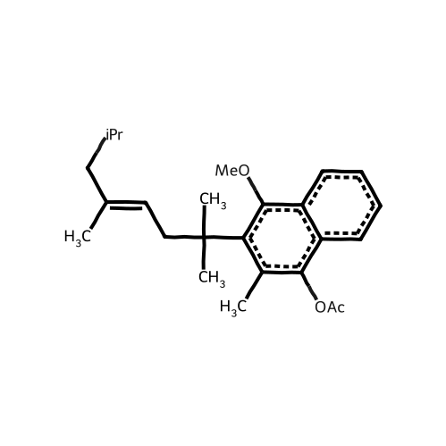 COc1c(C(C)(C)C/C=C(\C)CC(C)C)c(C)c(OC(C)=O)c2ccccc12